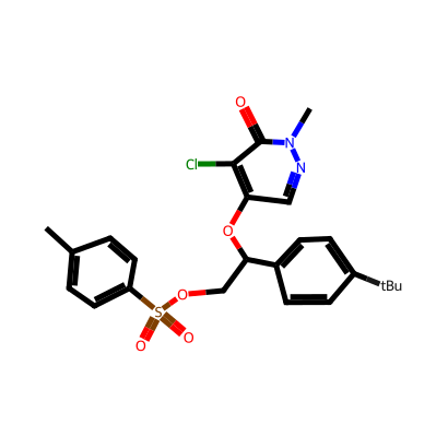 Cc1ccc(S(=O)(=O)OCC(Oc2cnn(C)c(=O)c2Cl)c2ccc(C(C)(C)C)cc2)cc1